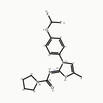 Cc1cn(-c2ccc(OC(F)F)cc2)/c(=N/C(=O)N2CCCC2)s1